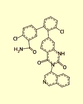 NC(=O)c1cc(-c2cccc(Cl)c2-c2ccc3c(=O)n(-c4cncc5ccccc45)c(=O)[nH]c3c2)ccc1Cl